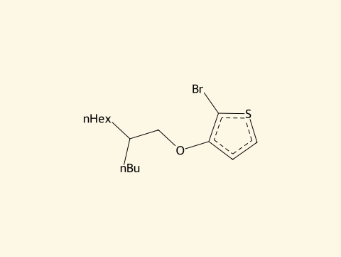 CCCCCCC(CCCC)COc1ccsc1Br